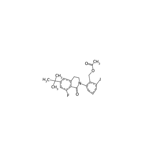 CC(=O)OCc1c(I)cccc1N1CCc2cc(C(C)(C)C)cc(F)c2C1=O